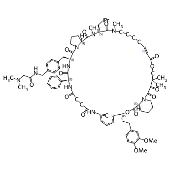 COc1ccc(CC[C@H]2OC(=O)[C@@H]3CCCCN3C(=O)C(=O)C(C)(C)COC(=O)/C=C/CCCCN(C)C(=O)[C@H](CC(C)C)N(C)C(=O)[C@H]3CCCN3C(=O)[C@H](Cc3ccc(CNC(=O)CN(C)C)cc3)NC(=O)[C@H](c3ccccc3)NC(=O)CCC(=O)Nc3cccc2c3)cc1OC